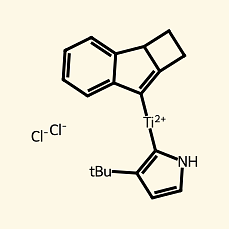 CC(C)(C)c1cc[nH][c]1[Ti+2][C]1=C2CCC2c2ccccc21.[Cl-].[Cl-]